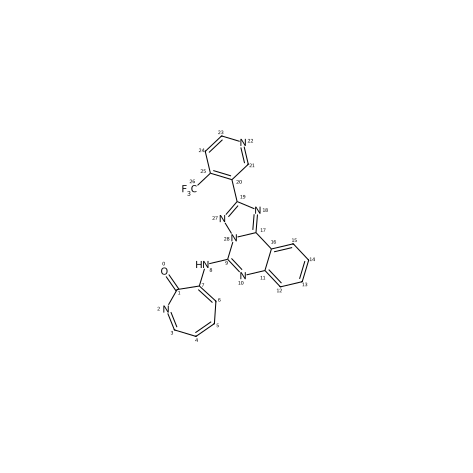 O=c1nccccc1Nc1nc2ccccc2c2nc(-c3cnccc3C(F)(F)F)nn12